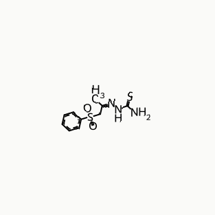 C/C(CS(=O)(=O)c1ccccc1)=N/NC(N)=S